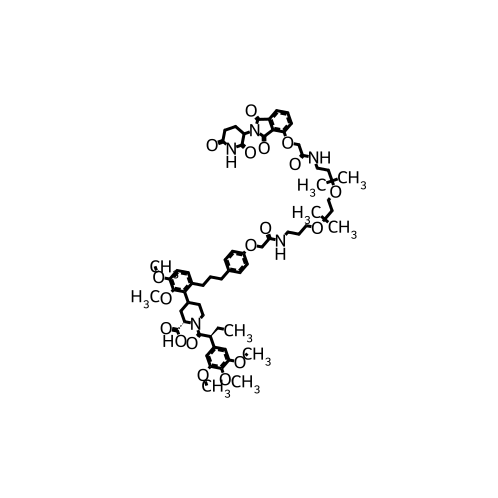 CC[C@H](C(=O)N1CCC(c2c(CCCc3ccc(OCC(=O)NCCCOC(C)(C)CCOC(C)(C)CCNC(=O)COc4cccc5c4C(=O)N(C4CCC(=O)NC4=O)C5=O)cc3)ccc(OC)c2OC)C[C@H]1C(=O)O)c1cc(OC)c(OC)c(OC)c1